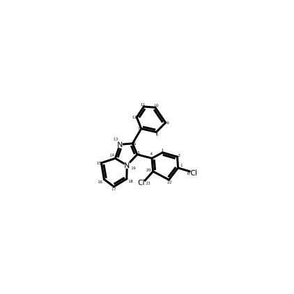 Clc1ccc(-c2c(-c3ccccc3)nc3ccccn23)c(Cl)c1